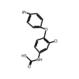 CC(C)c1ccc(Oc2ccc(NC(=O)S)cc2Cl)cc1